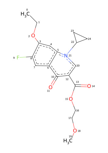 CCOc1cc2c(cc1F)c(=O)c(C(=O)OCCOC)cn2C1CC1